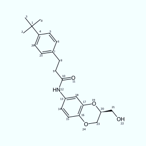 CC(C)(C)c1ccc(CCC(=O)Nc2ccc3c(c2)O[C@@H](CO)CO3)cc1